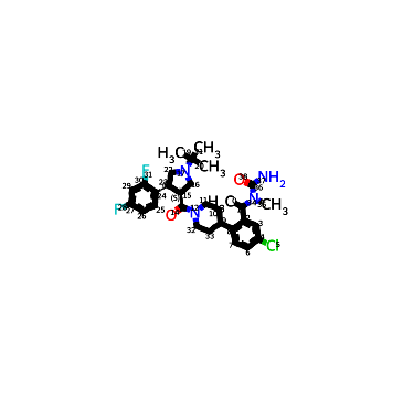 CC(c1cc(Cl)ccc1C1CCN(C(=O)[C@@H]2CN(C(C)(C)C)C[C@H]2c2ccc(F)cc2F)CC1)N(C)C(N)=O